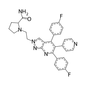 NC(=O)C1CCCN1CCn1cc2c(-c3ccc(F)cc3)c(-c3ccncc3)c(-c3ccc(F)cc3)nc2n1